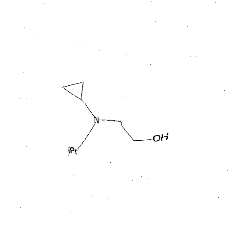 CC(C)N(CCO)C1CC1